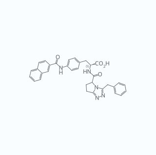 O=C(Nc1ccc(C[C@H](NC(=O)C2CCc3nnc(Cc4ccccc4)n32)C(=O)O)cc1)c1ccc2ccccc2c1